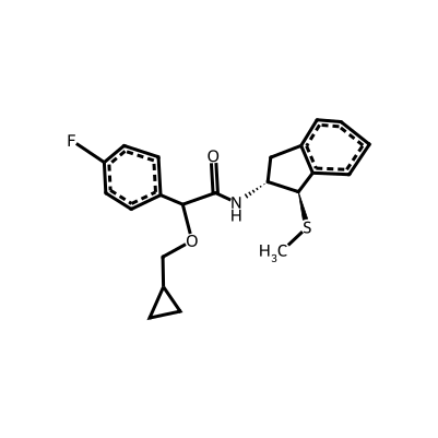 CS[C@@H]1c2ccccc2C[C@H]1NC(=O)C(OCC1CC1)c1ccc(F)cc1